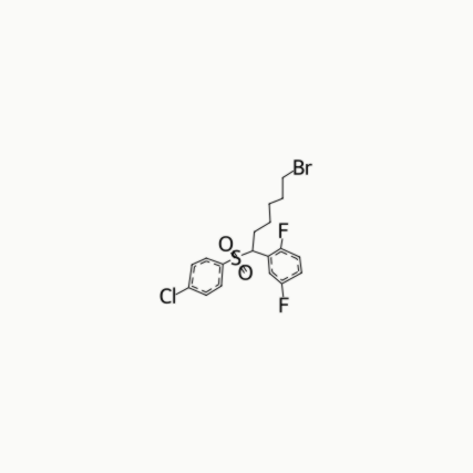 O=S(=O)(c1ccc(Cl)cc1)C(CCCCCBr)c1cc(F)ccc1F